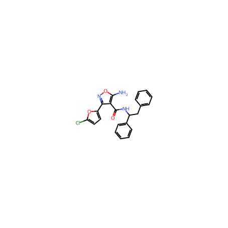 Nc1onc(-c2ccc(Cl)o2)c1C(=O)NC(Cc1ccccc1)c1ccccc1